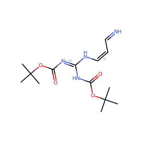 CC(C)(C)OC(=O)/N=C(/N/C=C\C=N)NC(=O)OC(C)(C)C